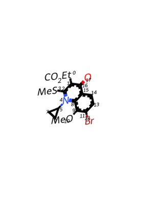 CCOC(=O)c1c(SC)n(C2CC2)c2c(OC)c(Br)ccc2c1=O